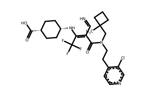 CC1(CN(CCc2ccncc2Cl)C(=O)/C(C=N)=C(/N[C@H]2CC[C@@H](C(=O)O)CC2)C(F)(F)F)CCC1